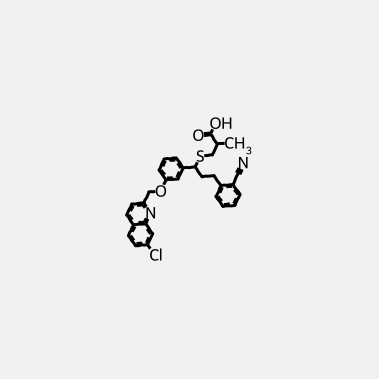 CC(CSC(CCc1ccccc1C#N)c1cccc(OCc2ccc3ccc(Cl)cc3n2)c1)C(=O)O